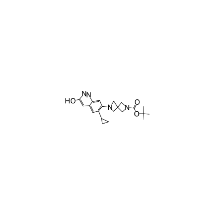 CC(C)(C)OC(=O)N1CC2(C1)CN(c1cc3nnc(O)cc3cc1C1CC1)C2